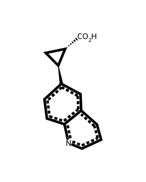 O=C(O)[C@H]1C[C@@H]1c1ccc2ncccc2c1